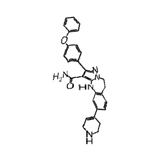 NC(=O)c1c(-c2ccc(Oc3ccccc3)cc2)nn2c1Nc1cc(C3=CCNCC3)ccc1CC2